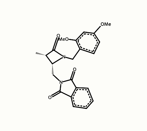 COc1ccc(CN2C(=O)[C@@H](C)[C@H]2CN2C(=O)c3ccccc3C2=O)c(OC)c1